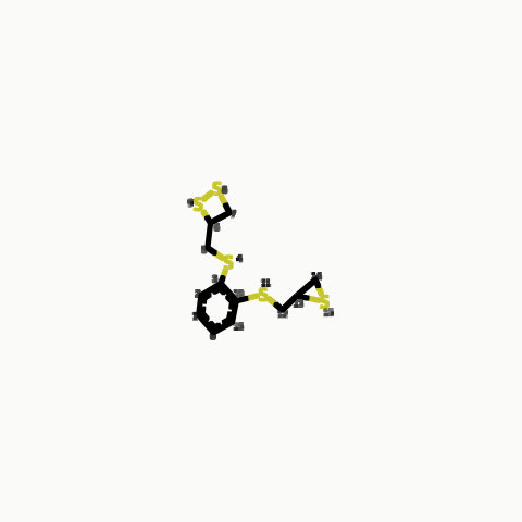 c1ccc(SCC2CSS2)c(SCC2CS2)c1